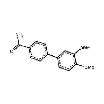 COc1ccc(-c2ccc(C(N)=O)cc2)cc1SC